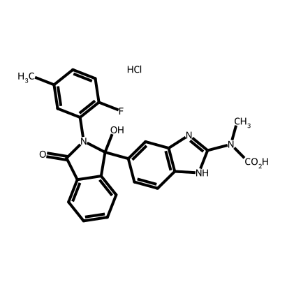 Cc1ccc(F)c(N2C(=O)c3ccccc3C2(O)c2ccc3[nH]c(N(C)C(=O)O)nc3c2)c1.Cl